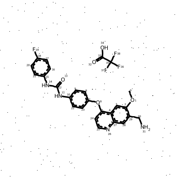 COc1cc2c(Oc3ccc(NC(=O)Nc4ccc(F)cc4)cc3)ccnc2cc1CN.O=C(O)C(F)(F)F